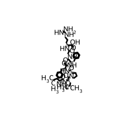 CC(C)C[C@H](NC(=O)[C@@H](N)CC(C)C)C(=O)N1CCC[C@H]1C(=O)N[C@@H](Cc1ccccc1)C(=O)N[C@@H](Cc1ccccc1)C(=O)NCC(=O)N[C@@H](CCCNC(=N)N)C(=O)O